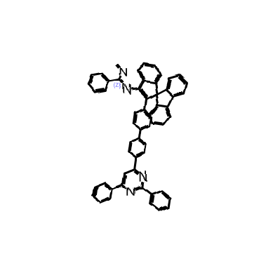 C=N/C(=N\C1=C(c2ccc(-c3ccc(-c4cc(-c5cc#ccc5)nc(-c5ccccc5)n4)cc3)cc2)C2(c3ccccc31)c1ccccc1-c1ccccc12)c1ccccc1